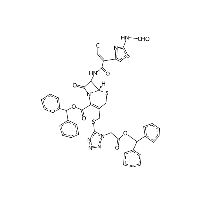 O=CNc1nc(C(=CCl)C(=O)NC2C(=O)N3C(C(=O)OC(c4ccccc4)c4ccccc4)=C(CSc4nnnn4CC(=O)OC(c4ccccc4)c4ccccc4)CS[C@@H]23)cs1